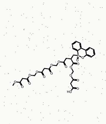 COC(=O)CC(=O)OCOC(=O)CC(=O)OCOC(=O)CC(CP1(=O)Oc2ccccc2-c2ccccc21)C(=O)OCOC(=O)CC(=O)O